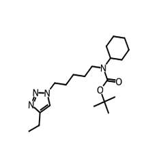 CCc1cn(CCCCCN(C(=O)OC(C)(C)C)C2CCCCC2)nn1